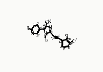 Cc1ccc(-c2c(C#N)nc(C#Cc3cccc(Cl)c3C)n2C)cn1